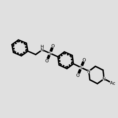 CC(=O)N1CCN(S(=O)(=O)c2ccc(S(=O)(=O)NCc3ccccc3)cc2)CC1